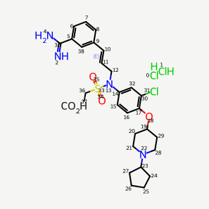 Cl.Cl.N=C(N)c1cccc(/C=C/CN(c2ccc(OC3CCN(C4CCCC4)CC3)c(Cl)c2)S(=O)(=O)CC(=O)O)c1